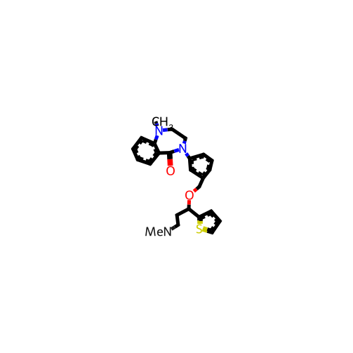 CNCCC(OCc1cccc(N2CCN(C)c3ccccc3C2=O)c1)c1cccs1